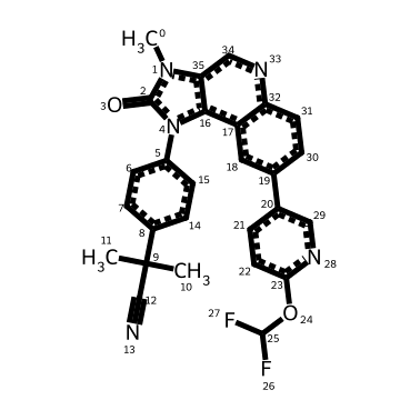 Cn1c(=O)n(-c2ccc(C(C)(C)C#N)cc2)c2c3cc(-c4ccc(OC(F)F)nc4)ccc3ncc21